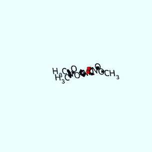 CCOC(=O)N1CC2CCC1CC2N1CC(OC(=O)N(CC)CC)C1